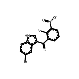 O=C(c1cccc([N+](=O)[O-])c1Br)c1c[nH]c2ncc(Br)cc12